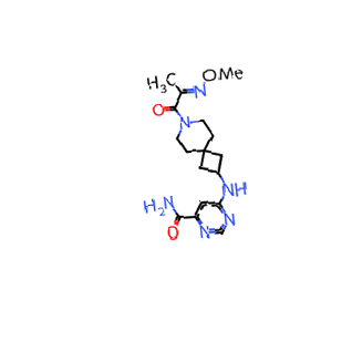 CON=C(C)C(=O)N1CCC2(CC1)CC(Nc1cc(C(N)=O)ncn1)C2